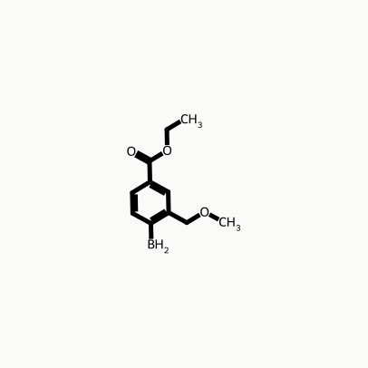 Bc1ccc(C(=O)OCC)cc1COC